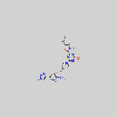 CCC(C)CC(C)NC(=O)c1nc(OC)nc(N2CCC(COc3cc(-c4cn(C)nn4)cnc3N)CC2)n1